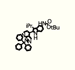 CC(C)c1c(-c2ccnc3c2cnn3C(c2ccccc2)(c2ccccc2)c2ccccc2)[nH]c2ccc(NC(=O)OC(C)(C)C)cc12